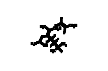 CC(C(=O)O)=C(CC(C)O)C(F)(F)C(F)(F)C(F)(C(F)(F)F)C(F)(F)F.O=C(O)C(F)=C(F)F